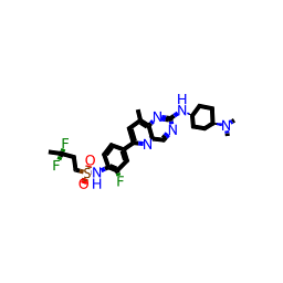 Cc1cc(-c2ccc(NS(=O)(=O)CCC(C)(F)F)c(F)c2)nc2cnc(N[C@H]3CC[C@H](N(C)C)CC3)nc12